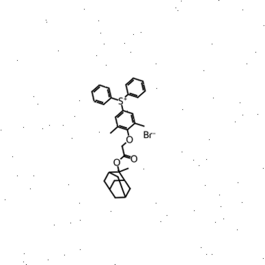 Cc1cc([S+](c2ccccc2)c2ccccc2)cc(C)c1OCC(=O)OC1(C)C2CC3CC(C2)CC1C3.[Br-]